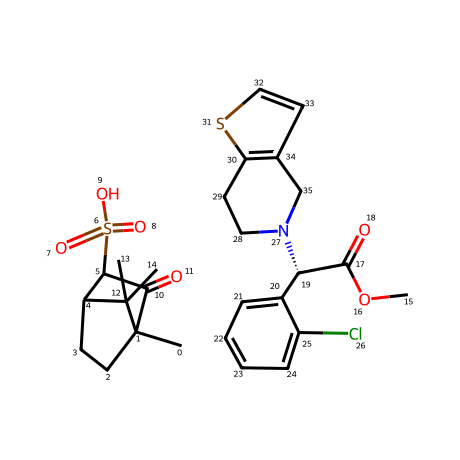 CC12CCC(C(S(=O)(=O)O)C1=O)C2(C)C.COC(=O)[C@H](c1ccccc1Cl)N1CCc2sccc2C1